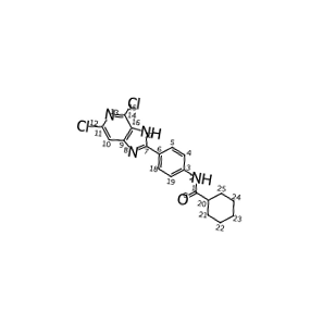 O=C(Nc1ccc(-c2nc3cc(Cl)nc(Cl)c3[nH]2)cc1)C1CCCCC1